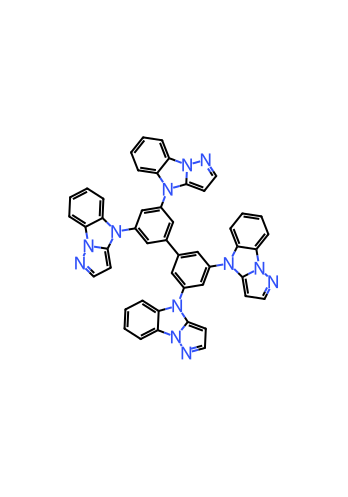 c1ccc2c(c1)n(-c1cc(-c3cc(-n4c5ccccc5n5nccc45)cc(-n4c5ccccc5n5nccc45)c3)cc(-n3c4ccccc4n4nccc34)c1)c1ccnn21